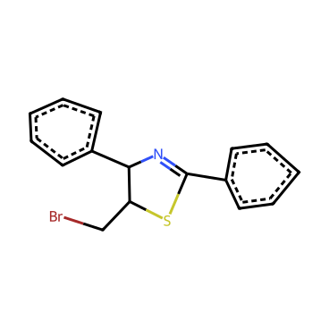 BrCC1SC(c2ccccc2)=NC1c1ccccc1